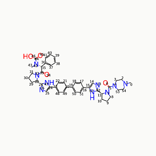 CN1CCN(C(=O)N2CCC[C@H]2c2ncc(-c3ccc(-c4ccc(-c5cnc([C@@H]6CCCN6C(=O)[C@@H](c6ccccc6)N(C)C(=O)O)[nH]5)cc4)cc3)[nH]2)CC1